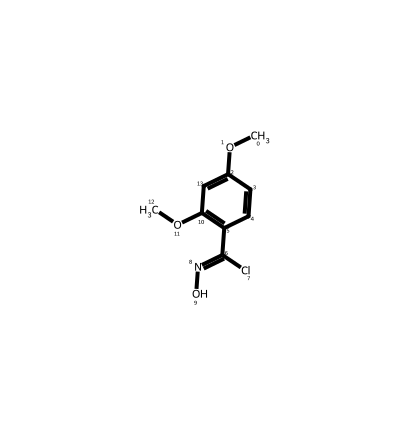 COc1ccc(C(Cl)=NO)c(OC)c1